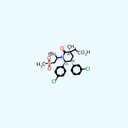 CC(C)(C)C(CS(C)(=O)=O)N1C(=O)[C@@](C)(CC(=O)O)C[C@H](c2cccc(Cl)c2)[C@H]1c1ccc(Cl)cc1